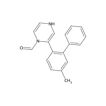 Cc1ccc(C2=CNC=CN2C=O)c(-c2ccccc2)c1